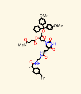 CNC(=O)CCC(=O)OC1C[C@H](n2cc(/C=C/C(=O)NCCNC(=O)[C@@H](C)c3ccc(CC(C)C)cc3)c(=O)[nH]c2=O)O[C@@H]1COC(c1ccccc1)(c1ccc(OC)cc1)c1ccc(OC)cc1